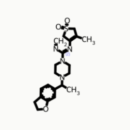 C=N/C(=N\C1=C(C)CS(=O)(=O)C1)N1CCN(C(C)c2ccc3c(c2)OCC3)CC1